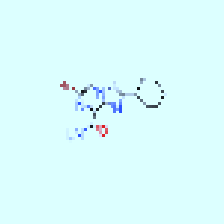 NC(=O)c1nc(Br)cn2[c]c(C3CCCCC3)nc12